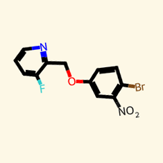 O=[N+]([O-])c1cc(OCc2ncccc2F)ccc1Br